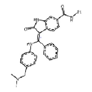 CCNC(=O)c1ccc2c(c1)NC(=O)/C2=C(\Nc1ccc(CN(C)C)cc1)c1ccccc1